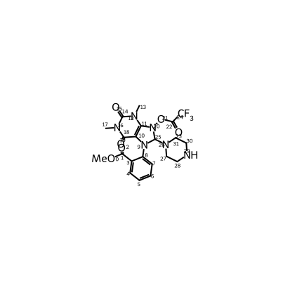 COC(=O)c1ccccc1N1c2c(n(C)c(=O)n(C)c2=O)N(OC(=O)C(F)(F)F)C1N1CCNCC1